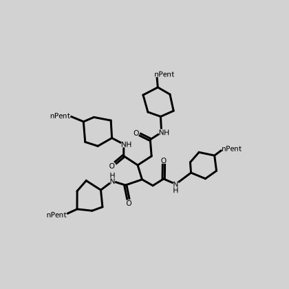 CCCCCC1CCC(NC(=O)CC(C(=O)NC2CCC(CCCCC)CC2)C(CC(=O)NC2CCC(CCCCC)CC2)C(=O)NC2CCC(CCCCC)CC2)CC1